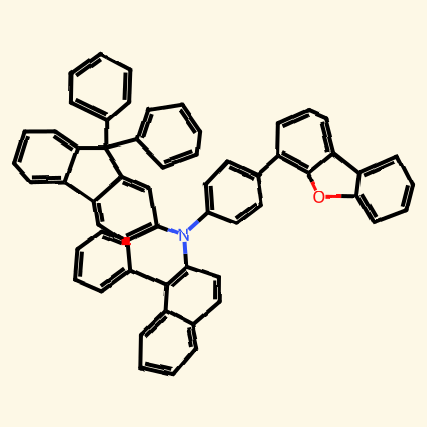 c1ccc(-c2c(N(c3ccc(-c4cccc5c4oc4ccccc45)cc3)c3ccc4c(c3)C(c3ccccc3)(c3ccccc3)c3ccccc3-4)ccc3ccccc23)cc1